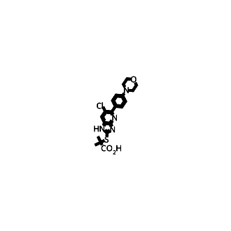 CC(C)(Sc1nc2nc(-c3ccc(N4CCOCC4)cc3)c(Cl)cc2[nH]1)C(=O)O